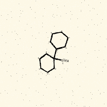 CCCCCCC1(C2CCCCC2)CCCCC1